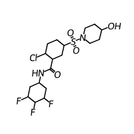 O=C(NC1CC(F)C(F)C(F)C1)C1CC(S(=O)(=O)N2CCC(O)CC2)CCC1Cl